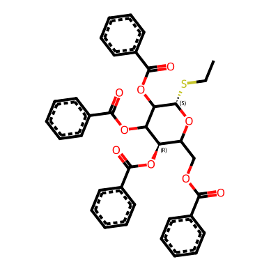 CCS[C@@H]1OC(COC(=O)c2ccccc2)[C@@H](OC(=O)c2ccccc2)C(OC(=O)c2ccccc2)C1OC(=O)c1ccccc1